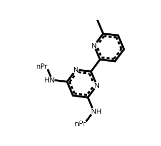 CCCNc1cc(NCCC)nc(-c2cccc(C)n2)n1